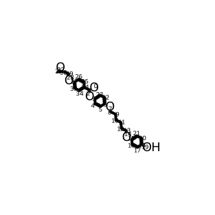 O=C(Oc1ccc(OCCCCCCOc2ccc(O)cc2)cc1)c1ccc(OCC2CO2)cc1